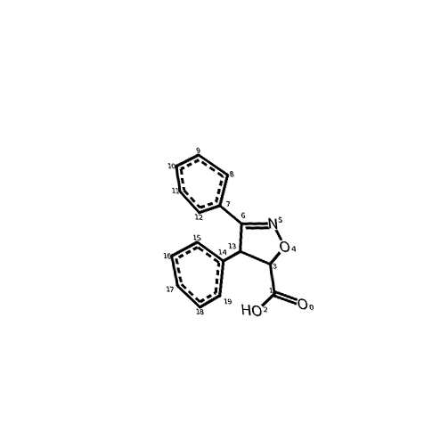 O=C(O)C1ON=C(c2ccccc2)C1c1ccccc1